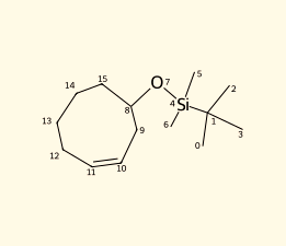 CC(C)(C)[Si](C)(C)OC1CC=CCCCC1